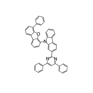 c1ccc(-c2cc(-c3ccccc3)nc(-c3ccc4c5ccccc5n(-c5cccc6c5oc5c(-c7ccccc7)cccc56)c4c3)n2)cc1